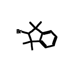 CC1(C)c2ccccc2C(C)(C)C1Br